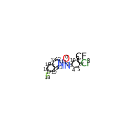 O=C(Nc1ccc(Cl)c(C(F)(F)F)c1)N1CCc2ccc(F)cc2C1